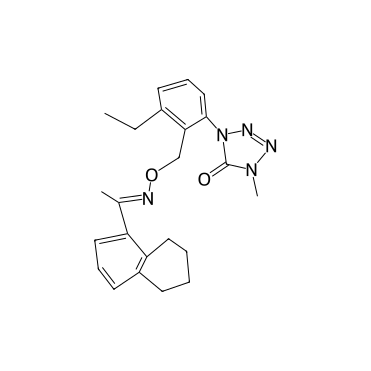 CCc1cccc(-n2nnn(C)c2=O)c1CON=C(C)c1cccc2c1CCCC2